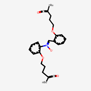 CCCCC(=C=O)CCCOc1ccccc1C=[N+]([O-])c1ccccc1OCCCC(=C=O)CCCC